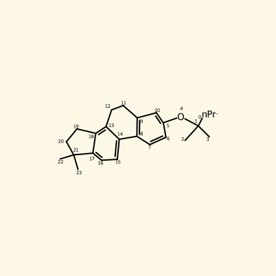 CC[CH]C(C)(C)Oc1ccc2c(c1)CCc1c-2ccc2c1CCC2(C)C